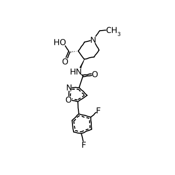 CCN1CC[C@@H](NC(=O)c2cc(-c3ccc(F)cc3F)on2)[C@H](C(=O)O)C1